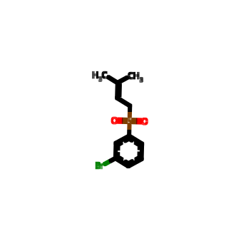 CC(C)=CCS(=O)(=O)c1cccc(Br)c1